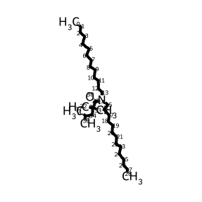 CCCCCCCCCCCCCCN(CCCCCCCCCCCCCC)C(=O)C(C)(C)CC(C)C